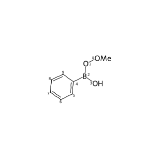 COOB(O)c1ccccc1